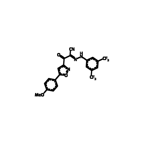 COc1ccc(-c2cc(C(=O)C(C#N)=NNc3cc(C(F)(F)F)cc(C(F)(F)F)c3)no2)cc1